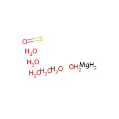 O.O.O.O.O.O.O=S.[MgH2]